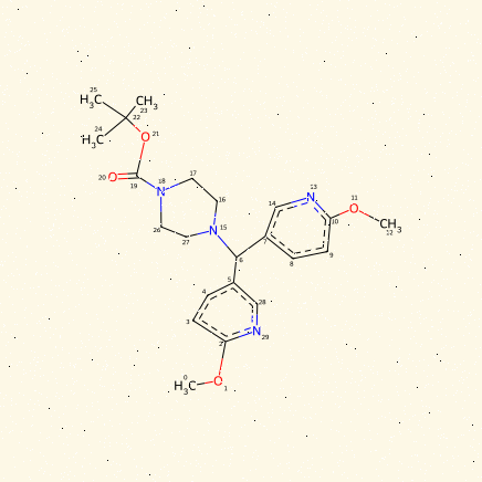 COc1ccc(C(c2ccc(OC)nc2)N2CCN(C(=O)OC(C)(C)C)CC2)cn1